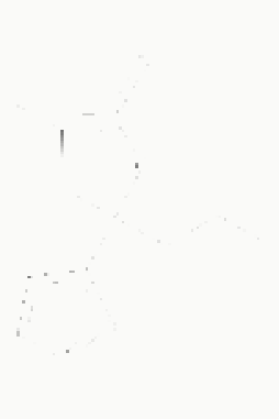 CCCC(CCC)(O[PH2]=O)c1cccs1